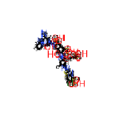 Cc1cc(N=Nc2c(S(=O)(=O)O)cc3cc(S(=O)(=O)O)c(N=Nc4c(C)c(C#N)c5nc6ccccc6n5c4O)cc3c2O)c(OCCCS(=O)(=O)O)cc1N=Nc1nc2cc(S(=O)(=O)O)c(Cl)cc2s1